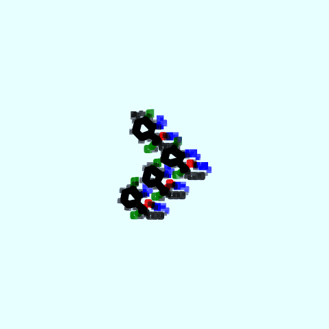 NOC(Cl)(C(=O)[O-])c1cccc(Cl)c1N.NOC(Cl)(C(=O)[O-])c1cccc(Cl)c1N.NOC(Cl)(C(=O)[O-])c1cccc(Cl)c1N.NOC(Cl)(C(=O)[O-])c1cccc(Cl)c1N.[Pt+4]